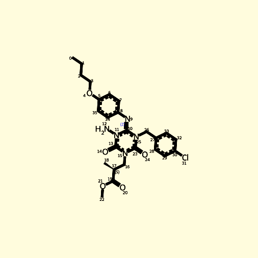 CCCCOc1ccc(/N=c2\n(N)c(=O)n(C[C@H](C)C(=O)OC)c(=O)n2Cc2ccc(Cl)cc2)cc1